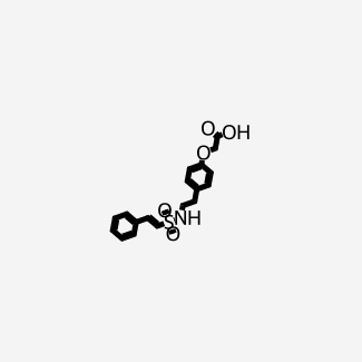 O=C(O)COc1ccc(CCNS(=O)(=O)C=Cc2ccccc2)cc1